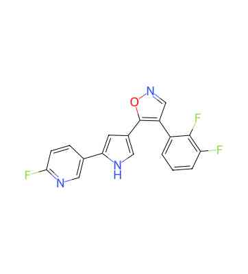 Fc1ccc(-c2cc(-c3oncc3-c3cccc(F)c3F)c[nH]2)cn1